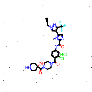 C#CCn1cc(-c2cnc(C(=O)Nc3ccc(C(=O)N4CCN(C(=O)C5(O)CCNCC5)CC4)c(Cl)c3)n2C)c(C(F)(F)F)n1.Cl